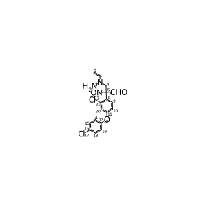 C=CN(N)CC(C=O)(N=O)c1ccc(Oc2ccc(Cl)cc2)cc1Cl